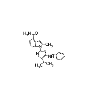 Cc1cc2c(C(N)=O)cccc2n1-c1ncc(C(C)C)c(NCc2ccccc2)n1